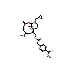 C=C1/C=C\C(OC)=C/C[C@@]2(CCNC(=O)Cc3ccc(C(=O)OC)cc3)CCN(CC3CC3)[C@H](C1)[C@@H]2C